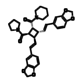 O=C([C@@H]1[C@H](/C=C/c2ccc3c(c2)OCO3)[C@@H](/C=C/c2ccc3c(c2)OCO3)[C@H]1C(=O)N1CCCC1)N1CCCCC1